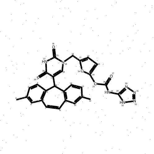 Cc1ccc2c(c1)C=Cc1cc(C)ccc1C2c1cn(Cc2ccc(OC(=O)Nc3nnn[nH]3)o2)c(=O)[nH]c1=S